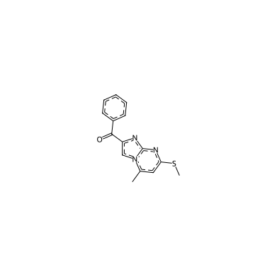 CSc1cc(C)n2cc(C(=O)c3ccccc3)nc2n1